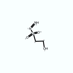 N=NS(=O)(=O)CCO